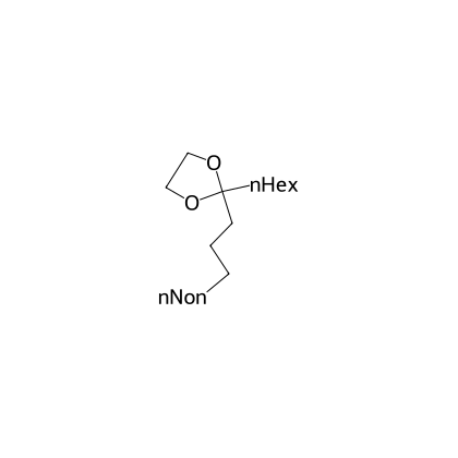 CCCCCCCCCCCCC1(CCCCCC)OCCO1